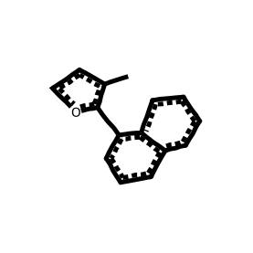 Cc1ccoc1-c1cccc2ccccc12